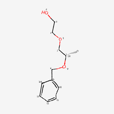 C[C@@H](COCCO)OCc1ccccc1